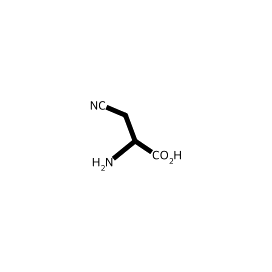 N#CCC(N)C(=O)O